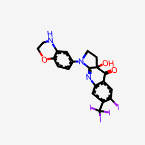 O=C1c2cc(I)c(C(I)(I)I)cc2N=C2N(c3ccc4c(c3)NCCO4)CCC12O